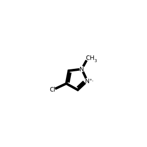 CN1C=C(Cl)C=[N+]1